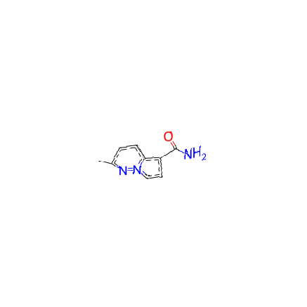 Cc1ccc2c(C(N)=O)ccn2n1